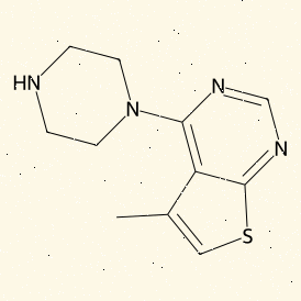 Cc1csc2ncnc(N3CCNCC3)c12